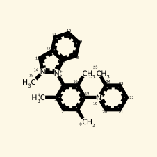 Cc1cc(C)c(-[n+]2c3ccccc3cn2C)c(C)c1-[n+]1ccccc1C